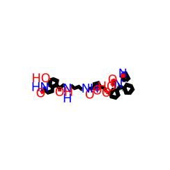 O=C(NCCCCNCC(O)c1ccc(O)c2[nH]c(=O)ccc12)c1ccc(COc2cccc([C@H](c3ccccc3)N(C(=O)O)C3CN4CCC3CC4)c2)o1